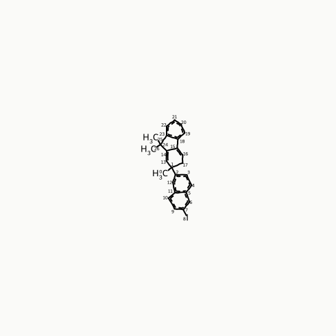 CC1(c2ccc3cc(I)ccc3c2)C=C2C(=CC1)c1ccccc1C2(C)C